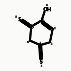 OC1=CCC(=S)CC1=S